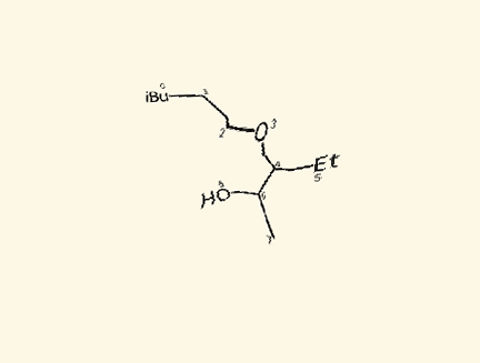 CCC(C)CCOC(CC)C(C)O